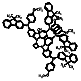 COc1ccc(N(C2=CC3(C)c4cc(N(c5ccc(OC)cc5)c5ccc6c(c5)C(C)(C)c5ccccc5-6)ccc4N(C4CCC4n4c5ccc(N(c6ccc(OC)cc6)c6ccc7c(c6)C(C)(C)c6ccccc6-7)cc5c5cc(N(c6ccc(OC)cc6)c6ccc7c(c6)C(C)(C)c6ccccc6-7)ccc54)C3C=C2)c2ccc3c(c2)C(C)(C)c2ccccc2-3)cc1